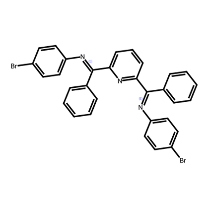 Brc1ccc(/N=C(\c2ccccc2)c2cccc(/C(=N/c3ccc(Br)cc3)c3ccccc3)n2)cc1